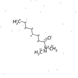 CCCCCCCC(Cl)[SiH](C)C